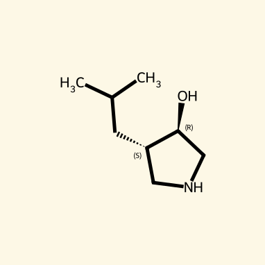 CC(C)C[C@H]1CNC[C@@H]1O